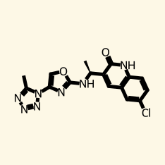 Cc1nnnn1-c1coc(N[C@@H](C)c2cc3cc(Cl)ccc3[nH]c2=O)n1